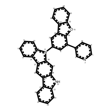 c1cncc(-c2cc(-n3c4ccccc4c4cc5c(cc43)[nH]c3ccccc35)cc3c2oc2ccccc23)c1